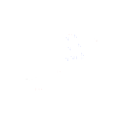 O=C(O)c1cc(-c2ccc(C=NNc3nc4nonc4nc3Nc3cccc(Br)c3)o2)ccc1O